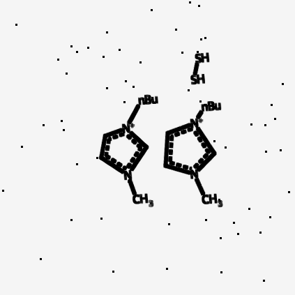 CCCC[n+]1ccn(C)c1.CCCC[n+]1ccn(C)c1.SS